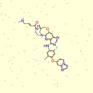 Cc1cc(Nc2ncnc3cc4c(nc23)N2CCN(C(=O)/C=C/CN(C)C)[C@H](CO4)C2)c(F)cc1Oc1ccn2ccnc2c1